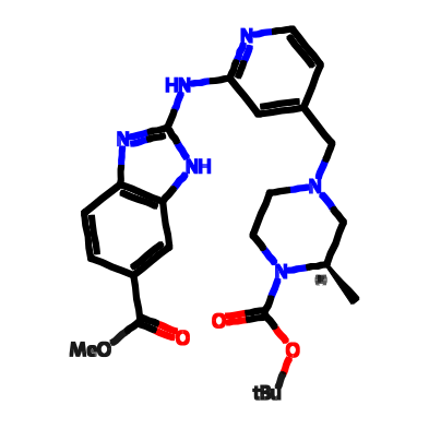 COC(=O)c1ccc2nc(Nc3cc(CN4CCN(C(=O)OC(C)(C)C)[C@H](C)C4)ccn3)[nH]c2c1